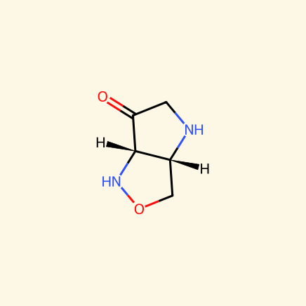 O=C1CN[C@@H]2CON[C@H]12